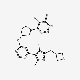 Cc1nn(CC2COC2)c(C)c1-c1cc(O[C@@H]2CCN(c3cn[nH]c(=O)c3Cl)C2)ncn1